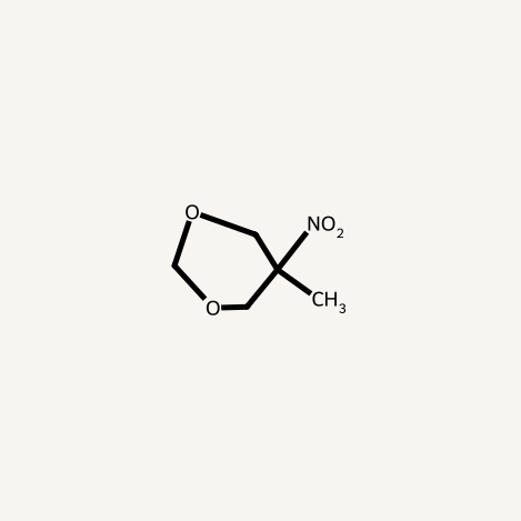 CC1([N+](=O)[O-])COCOC1